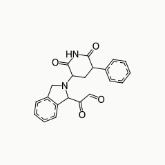 O=CC(=O)C1c2ccccc2CN1C1CC(c2ccccc2)C(=O)NC1=O